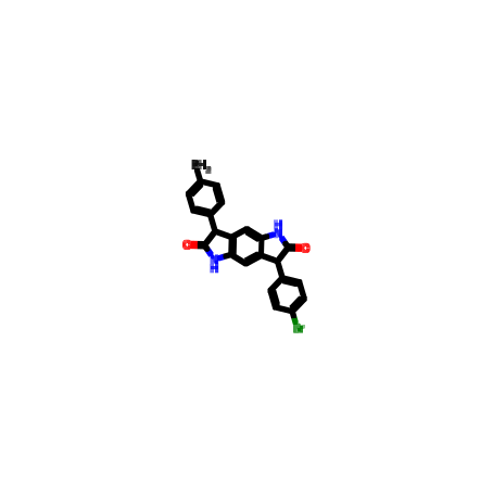 Bc1ccc(C2C(=O)Nc3cc4c(cc32)NC(=O)C4c2ccc(Br)cc2)cc1